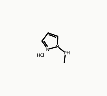 CPn1cccn1.Cl